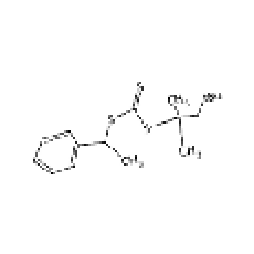 CC(SC(=S)SC(C)(C)CC(C)(C)C)c1ccccc1